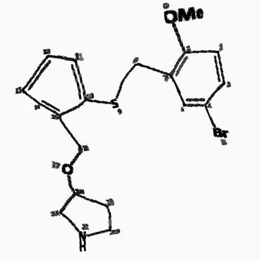 COc1ccc(Br)cc1CSc1ccccc1COC1CCNC1